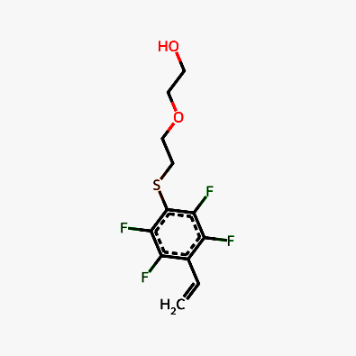 C=Cc1c(F)c(F)c(SCCOCCO)c(F)c1F